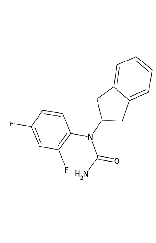 NC(=O)N(c1ccc(F)cc1F)C1Cc2ccccc2C1